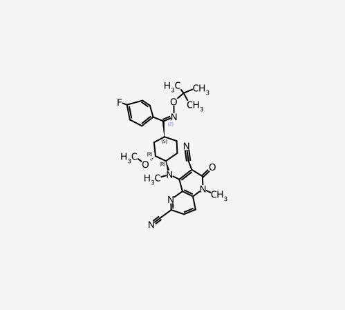 CO[C@@H]1C[C@@H](/C(=N/OC(C)(C)C)c2ccc(F)cc2)CC[C@H]1N(C)c1c(C#N)c(=O)n(C)c2ccc(C#N)nc12